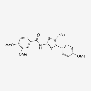 CCCCc1sc(NC(=O)c2ccc(OC)c(OC)c2)nc1-c1ccc(OC)cc1